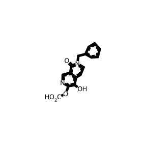 O=C(O)Oc1ncc2c(=O)n(Cc3ccccc3)ccc2c1O